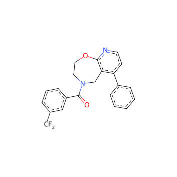 O=C(c1cccc(C(F)(F)F)c1)N1CCOc2nccc(-c3ccccc3)c2C1